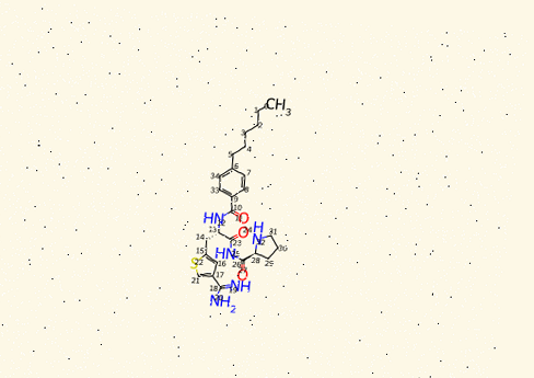 CCCCCCc1ccc(C(=O)N[C@@H](Cc2cc(C(=N)N)cs2)C(=O)NC(=O)[C@@H]2CCCN2)cc1